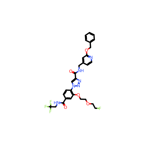 O=C(NCC(F)(F)F)c1ccc(-n2cc(C(=O)NCc3ccnc(OCc4ccccc4)c3)nn2)c(OCCOCCF)c1